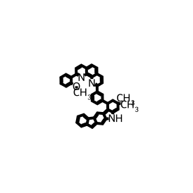 COc1ccccc1-c1ccc2ccc3ccc(-c4cccc(C5CC(C)(C)C=c6[nH]c7cc8c(cc7c65)-c5ccccc5C=8)c4)nc3c2n1